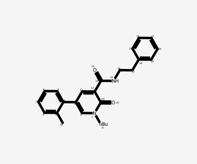 CCCCn1cc(-c2ccccc2C)cc(C(=O)NCCc2ccccc2)c1=O